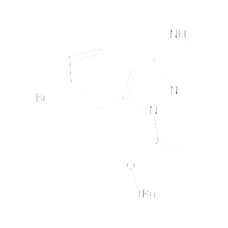 C=C(OC(C)(C)C)n1nc(N)c2ccc(Br)cc21